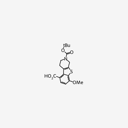 COc1ccc(C(=O)O)c2c3c(sc12)CN(C(=O)OC(C)(C)C)CC3